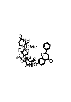 COC1(C)NC(=O)CCN1[C@@H]1O[C@H](COP(=O)(N[C@@H](C)C(=O)OC(C)C)Oc2ccc3c(c2)OC(c2ccccc2)CC3=O)[C@@H](O)[C@@]1(C)F